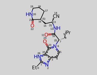 CCc1nc2ccn([C@@H](CC(C)C)C(=O)N[C@H](C#N)C[C@@H]3CCCNC3=O)c(=O)c2[nH]1